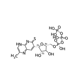 Cc1c[nH]c2nc(=S)c([C@@H]3O[C@H](COP(=O)(O)OP(=O)(O)OP(=O)(O)O)C(O)[C@@H]3O)cc-2n1